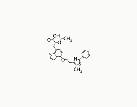 CCOC(Cc1ccc(OCCc2nc(-c3ccccc3)sc2C)c2ccsc12)C(=O)O